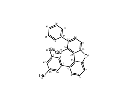 CC(C)(C)c1cc(-c2cccc3oc4ccc(-c5ccccc5)c(C(C)(C)C)c4c23)cc(C(C)(C)C)c1